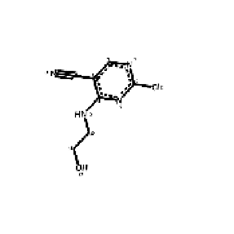 N#Cc1cnc(Cl)nc1NCCO